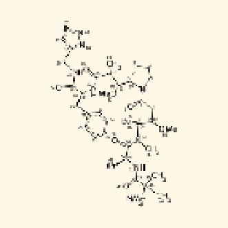 CC[C@H](C)[C@@H]([C@@H](CC(=O)N1CCC[C@H]1[C@H](OC)C(C)C(=O)N[C@@H](Cc1ccccc1)C(=O)NCc1c[nH]nn1)OC)N(C)C(=O)[C@@H](NC(=O)C(C)(C)NC)C(C)C